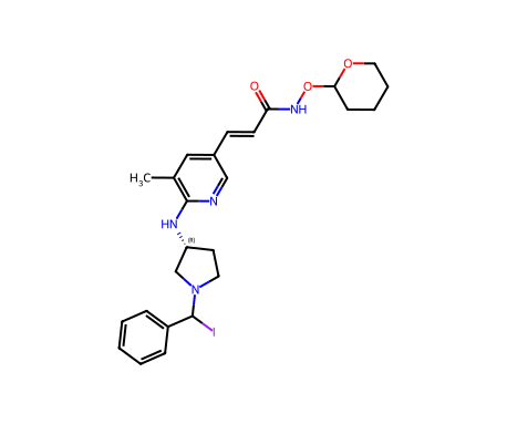 Cc1cc(C=CC(=O)NOC2CCCCO2)cnc1N[C@@H]1CCN(C(I)c2ccccc2)C1